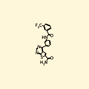 NC(=O)c1cc2c(-c3cccc(NC(=O)c4cccc(C(F)(F)F)c4)c3)ncnc2s1